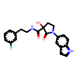 O=C(NCCc1cccc(F)c1)C1(O)CCN(c2ccc3[nH]ccc3c2)C1=O